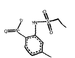 CCS(=O)(=O)Nc1cc(C)ccc1[N+](=O)[O-]